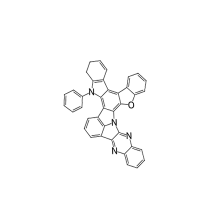 C1=Cc2c(n(-c3ccccc3)c3c2c2c4ccccc4oc2c2c3c3cccc4c5nc6ccccc6nc5n2c43)CC1